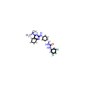 CN(C)c1nc(N[C@H]2CC[C@@H](CNC(=O)Nc3cc(F)cc(F)c3)CC2)nc2c1CCCC2